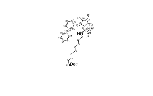 CCCCCCCCCCCCCCCCCC[NH][Zr]([C]1=C(C)C(C)=C(C)C1C)[SiH](C)C.c1ccc(-c2ccccc2)cc1